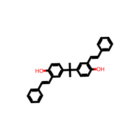 CC(C)(c1ccc(O)c(/C=C/c2ccccc2)c1)c1ccc(O)c(/C=C/c2ccccc2)c1